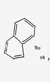 I.I.[Ru].c1ccc2ccccc2c1